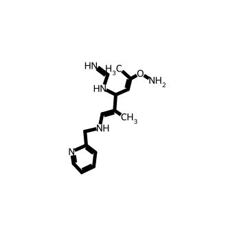 C/C(=C\C(NC=N)/C(C)=C/NCc1ccccn1)ON